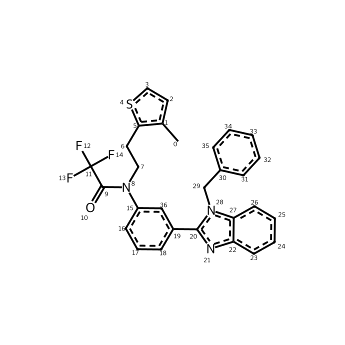 Cc1ccsc1CCN(C(=O)C(F)(F)F)c1cccc(-c2nc3ccccc3n2Cc2ccccc2)c1